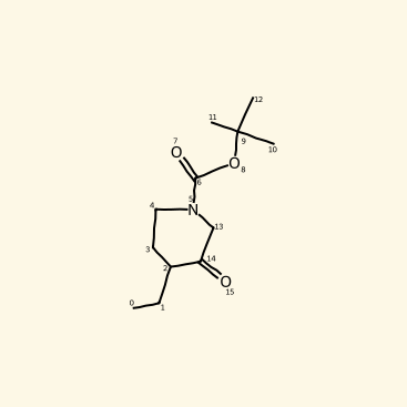 CCC1CCN(C(=O)OC(C)(C)C)CC1=O